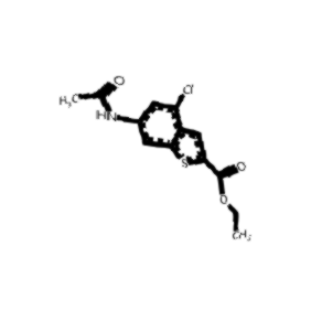 CCOC(=O)c1cc2c(Cl)cc(NC(C)=O)cc2s1